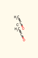 C=C=O.C=C=O.[C]